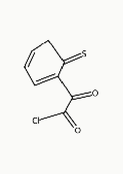 O=C(Cl)C(=O)C1=CC=CCC1=S